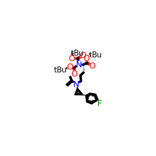 C=C(C)N(CCC[C@@H](C(=O)OC(C)(C)C)N(C(=O)OC(C)(C)C)C(=O)OC(C)(C)C)[C@@H]1C[C@H]1c1ccc(F)cc1